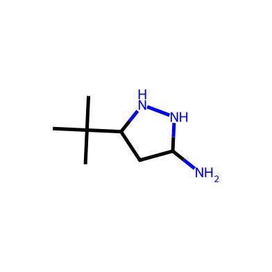 CC(C)(C)C1CC(N)NN1